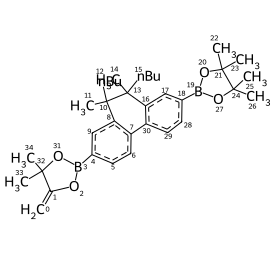 C=C1OB(c2ccc3c(c2)C(C)(CCCC)C(C)(CCCC)c2cc(B4OC(C)(C)C(C)(C)O4)ccc2-3)OC1(C)C